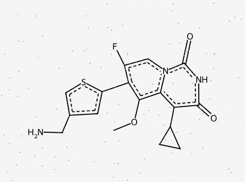 COc1c(-c2cc(CN)cs2)c(F)cn2c(=O)[nH]c(=O)c(C3CC3)c12